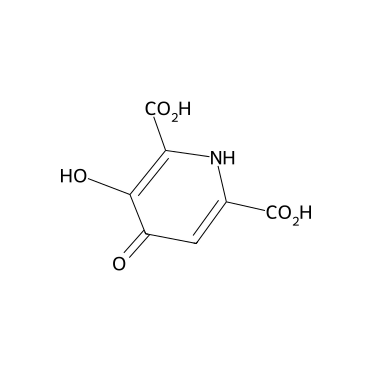 O=C(O)c1cc(=O)c(O)c(C(=O)O)[nH]1